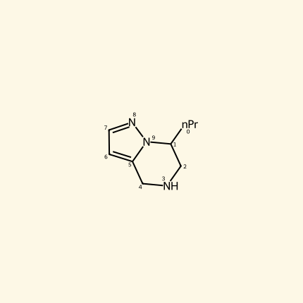 CCCC1CNCc2ccnn21